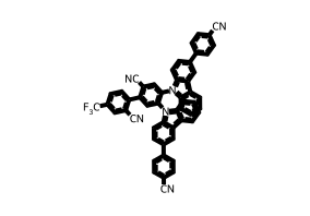 N#Cc1ccc(-c2ccc3c(c2)c2ccccc2n3-c2cc(C#N)c(-c3ccc(C(F)(F)F)cc3C#N)cc2-n2c3ccccc3c3cc(-c4ccc(C#N)cc4)ccc32)cc1